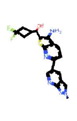 Cn1cc2cc(-c3ccc4c(N)c(C(O)C5CC(F)(F)C5)sc4n3)cnc2n1